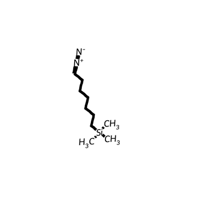 C[Si](C)(C)CCCCCCC=[N+]=[N-]